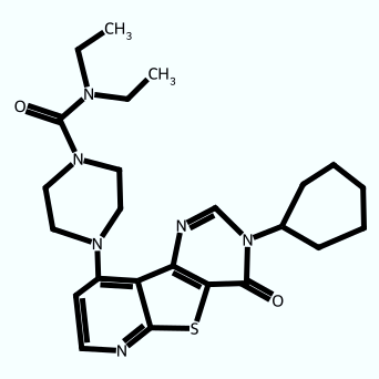 CCN(CC)C(=O)N1CCN(c2ccnc3sc4c(=O)n(C5CCCCC5)cnc4c23)CC1